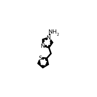 Nn1cnc(Cc2cccs2)c1